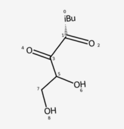 CC[C@@H](C)C(=O)C(=O)C(O)CO